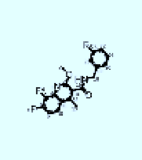 COc1nc2c(F)c(F)ccc2c(C)c1C(=O)NCc1cccc(F)c1